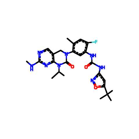 CNc1ncc2c(n1)N(C(C)C)C(=O)N(c1cc(NC(=O)Nc3cc(C(C)(C)C)on3)c(F)cc1C)C2